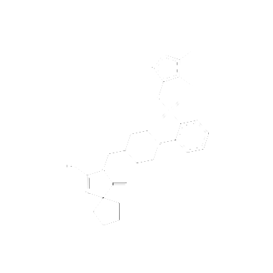 CCCCC1=NC2(CCCC2)C(=O)N1CC1CCN(c2ccccc2S(=O)(=O)Nc2noc(C)c2C)CC1